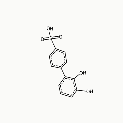 O=S(=O)(O)c1ccc(-c2cccc(O)c2O)cc1